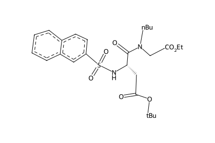 CCCCN(CC(=O)OCC)C(=O)[C@H](CC(=O)OC(C)(C)C)NS(=O)(=O)c1ccc2ccccc2c1